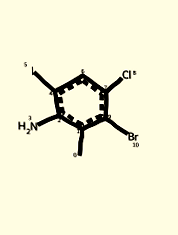 Cc1c(N)c(I)cc(Cl)c1Br